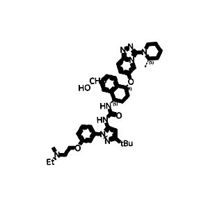 CCN(C)CCOc1cccc(-n2nc(C(C)(C)C)cc2NC(=O)N[C@H]2CC[C@@H](Oc3ccc4nnc(N5CCCC[C@@H]5C)n4c3)c3ccccc32)c1.O=CO